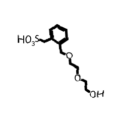 O=S(=O)(O)Cc1ccccc1COCCOCCO